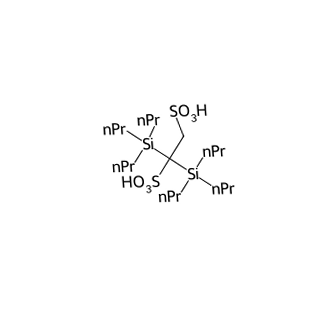 CCC[Si](CCC)(CCC)C(CS(=O)(=O)O)([Si](CCC)(CCC)CCC)S(=O)(=O)O